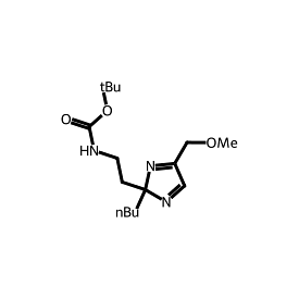 CCCCC1(CCNC(=O)OC(C)(C)C)N=CC(COC)=N1